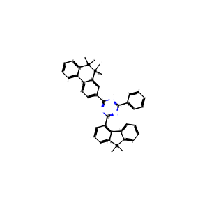 CC1(C)c2ccccc2-c2c(-c3nc(-c4ccccc4)nc(-c4ccc5c(c4)C(C)(C)C(C)(C)c4ccccc4-5)n3)cccc21